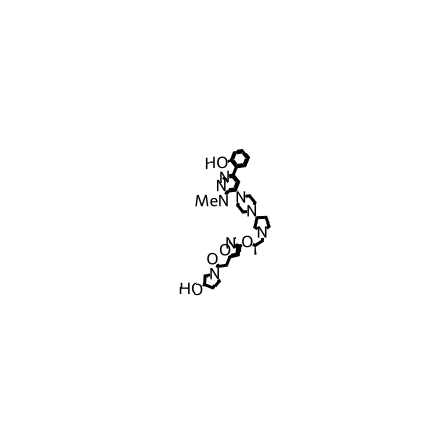 CNc1nnc(-c2ccccc2O)cc1N1CCN(C2CCN(C[C@@H](C)Oc3cc(CC(=O)N4CC[C@@H](O)C4)on3)C2)CC1